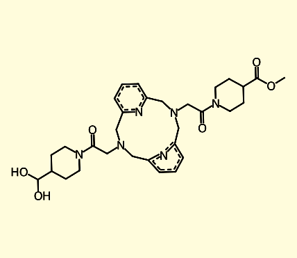 COC(=O)C1CCN(C(=O)CN2Cc3cccc(n3)CN(CC(=O)N3CCC(C(O)O)CC3)Cc3cccc(n3)C2)CC1